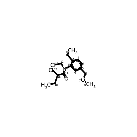 CCc1ccc(COC)cc1N(CCl)C(=O)C(Cl)CC